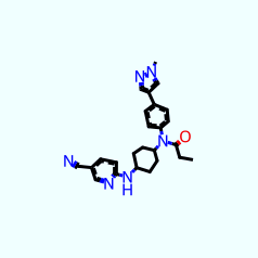 CCC(=O)N(c1ccc(-c2cnn(C)c2)cc1)C1CCC(Nc2ccc(C#N)cn2)CC1